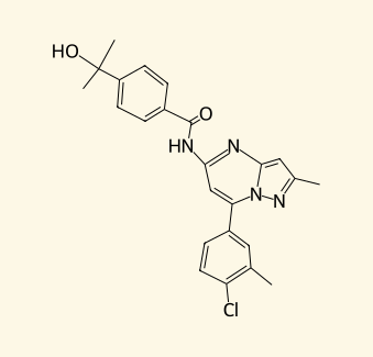 Cc1cc2nc(NC(=O)c3ccc(C(C)(C)O)cc3)cc(-c3ccc(Cl)c(C)c3)n2n1